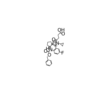 O=C(O)CCC(=O)N(C1CC1)[C@H]1c2cc(F)ccc2N(C(=O)OCc2ccccc2)[C@H]2CCC[C@H]21